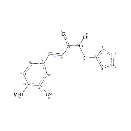 CCN(Cc1cccs1)C(=O)/C=C/c1ccc(OC)c(O)c1